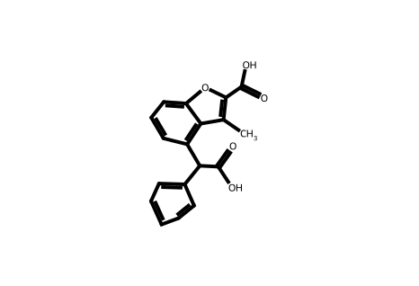 Cc1c(C(=O)O)oc2cccc(C(C(=O)O)c3ccccc3)c12